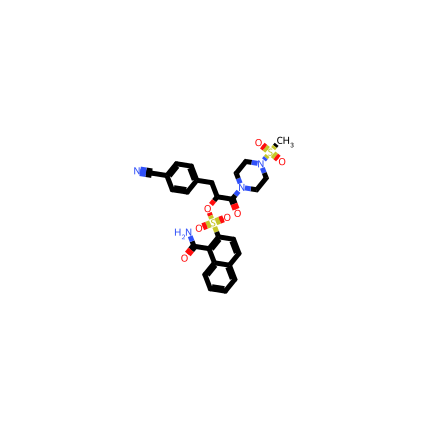 CS(=O)(=O)N1CCN(C(=O)C(Cc2ccc(C#N)cc2)OS(=O)(=O)c2ccc3ccccc3c2C(N)=O)CC1